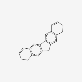 C1=Cc2cc3c(cc2CC1)Cc1cc2c(cc1-3)C=CCC2